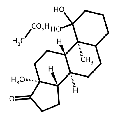 CC(=O)O.C[C@@]12C(CCCC1(O)O)CC[C@@H]1[C@@H]2CC[C@]2(C)C(=O)CC[C@@H]12